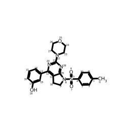 Cc1ccc(S(=O)(=O)N2CCc3c(-c4cccc(O)c4)nc(N4CCOCC4)nc32)cc1